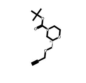 C#CCOC[C@@H]1CN(C(=O)OC(C)(C)C)CCO1